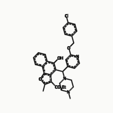 CCOC(=O)c1c(C)oc2c1c(C(c1ccnc(OCc3ccc(Cl)cc3)c1)N1CCN(C)CC1)c(O)c1ccccc12